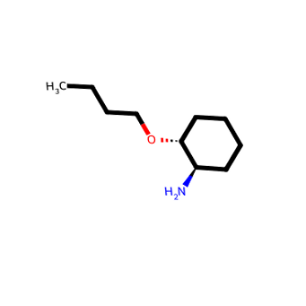 CCCCO[C@@H]1CCCC[C@H]1N